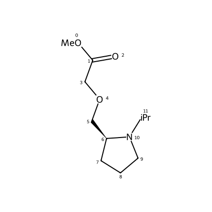 COC(=O)COC[C@@H]1CCCN1C(C)C